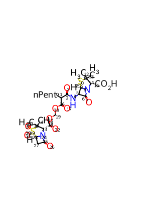 CCCCCC(C(=O)N[C@@H]1C(=O)N2[C@@H]1SC(C)(C)[C@@H]2C(=O)O)C(=O)OCOC(=O)[C@@H]1N2C(=O)C[C@H]2S(=O)(=O)C1(C)C